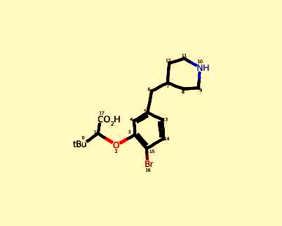 CC(C)(C)C(Oc1cc(CC2CCNCC2)ccc1Br)C(=O)O